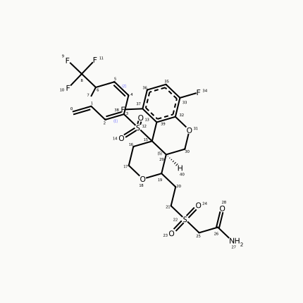 C=C/C=C(\C=C/C(C)C(F)(F)F)S(=O)(=O)C12CCOC(CCS(=O)(=O)CC(N)=O)[C@@H]1COc1c(F)ccc(F)c12